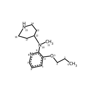 CCCOc1cccnc1N(C)C1CCNCC1